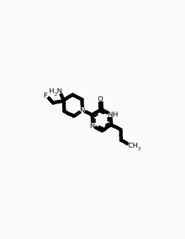 CCCc1cnc(N2CCC(N)(CF)CC2)c(=O)[nH]1